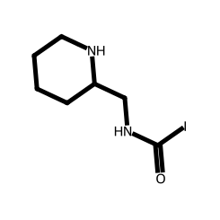 O=C(I)NCC1CCCCN1